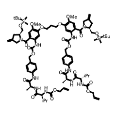 C=CCOC(=O)N[C@H](C(=O)N[C@@H](C)C(=O)Nc1ccc(COC(=O)Nc2cc(OCCCOc3cc(NC(=O)OCc4ccc(NC(=O)[C@H](C)NC(=O)[C@@H](NC(=O)OCC=C)C(C)C)cc4)c(C(=O)N4CC(=C)C[C@H]4CO[Si](C)(C)C(C)(C)C)cc3OC)c(OC)cc2C(=O)N2CC(=C)C[C@H]2CO[Si](C)(C)C(C)(C)C)cc1)C(C)C